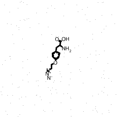 [N-]=[N+]=NCCOc1ccc(CC(N)C(=O)O)cc1